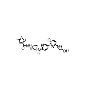 Cc1cc(C(=O)NC[C@@H]2CC[C@H](Nc3ccc(-n4nc(N5CC(O)C5)ccc4=O)cn3)C2)on1